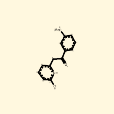 COc1cccc(C(=O)Cc2cccc(Cl)n2)c1